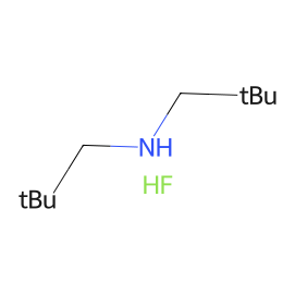 CC(C)(C)CNCC(C)(C)C.F